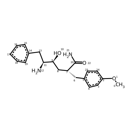 COc1ccc(C[C@H](C[C@H](O)[C@@H](N)Cc2ccccc2)C(N)=O)cc1